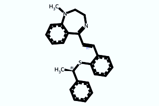 C[C@@H](Sc1ccccc1/C=C/C1=NCCN(C)c2ccccc21)c1ccccc1